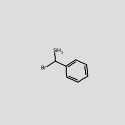 [SiH3]C(Br)c1ccccc1